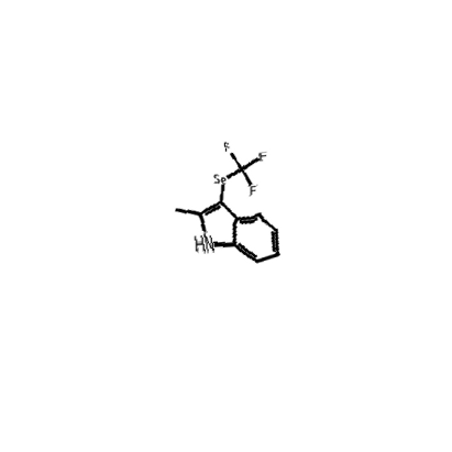 Cc1[nH]c2ccccc2c1[Se]C(F)(F)F